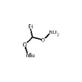 CCCCOC(CC)O[N+](=O)[O-]